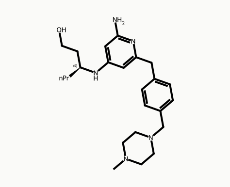 CCC[C@@H](CCO)Nc1cc(N)nc(Cc2ccc(CN3CCN(C)CC3)cc2)c1